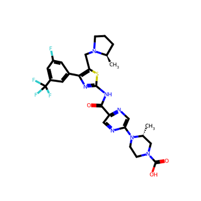 C[C@@H]1CCCN1Cc1sc(NC(=O)c2cnc(N3CCN(C(=O)O)C[C@H]3C)cn2)nc1-c1cc(F)cc(C(F)(F)F)c1